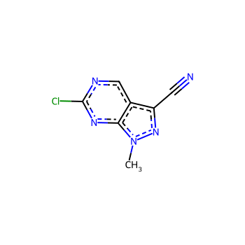 Cn1nc(C#N)c2cnc(Cl)nc21